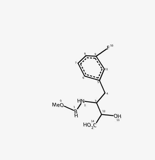 COBNC(Cc1cccc(F)c1)C(O)C(=O)O